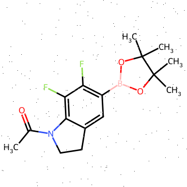 CC(=O)N1CCc2cc(B3OC(C)(C)C(C)(C)O3)c(F)c(F)c21